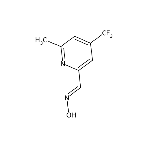 Cc1cc(C(F)(F)F)cc(C=NO)n1